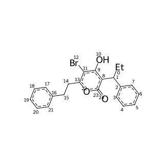 CCC(c1ccccc1)c1c(O)c(Br)c(CCc2ccccc2)oc1=O